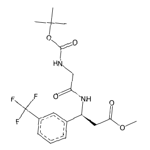 COC(=O)C[C@H](NC(=O)CNC(=O)OC(C)(C)C)c1cccc(C(F)(F)F)c1